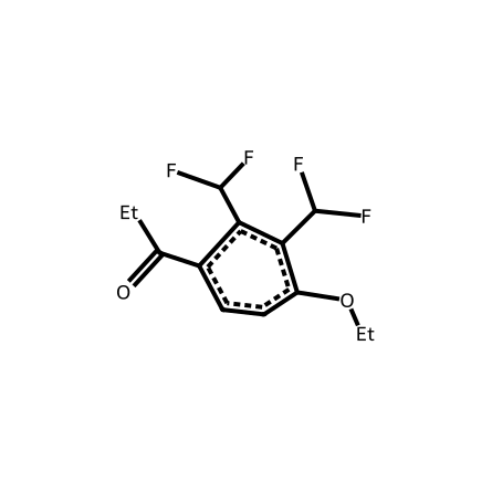 CCOc1ccc(C(=O)CC)c(C(F)F)c1C(F)F